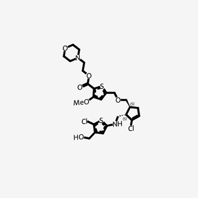 COc1cc(COC[C@H]2CC=C(Cl)[C@@H]2CNc2cc(CO)c(Cl)s2)sc1C(=O)OCCN1CCOCC1